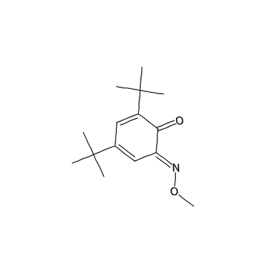 CON=C1C=C(C(C)(C)C)C=C(C(C)(C)C)C1=O